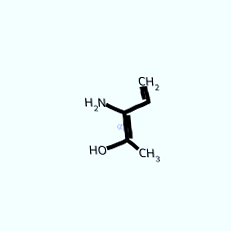 C=C/C(N)=C(\C)O